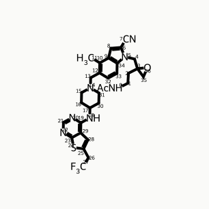 CC(=O)NCCC1(Cn2c(C#N)cc3c(C)c(CN4CCC(Nc5ncnc6sc(CC(F)(F)F)cc56)CC4)ccc32)CO1